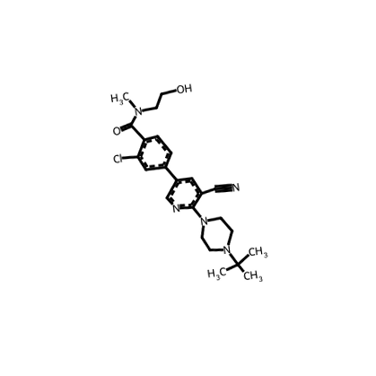 CN(CCO)C(=O)c1ccc(-c2cnc(N3CCN(C(C)(C)C)CC3)c(C#N)c2)cc1Cl